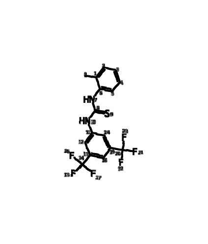 Cc1ccccc1NC(=S)Nc1cc(C(F)(F)F)cc(C(F)(F)F)c1